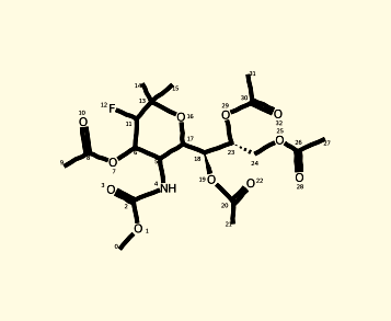 COC(=O)NC1C(OC(C)=O)C(F)C(C)(C)OC1[C@H](OC(C)=O)[C@@H](COC(C)=O)OC(C)=O